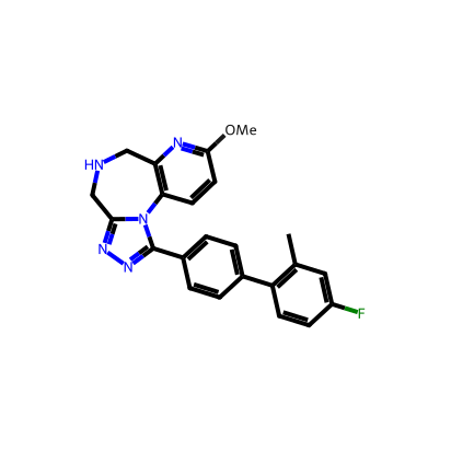 COc1ccc2c(n1)CNCc1nnc(-c3ccc(-c4ccc(F)cc4C)cc3)n1-2